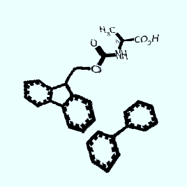 C[C@H](NC(=O)OCC1c2ccccc2-c2ccccc21)C(=O)O.c1ccc(-c2ccccc2)cc1